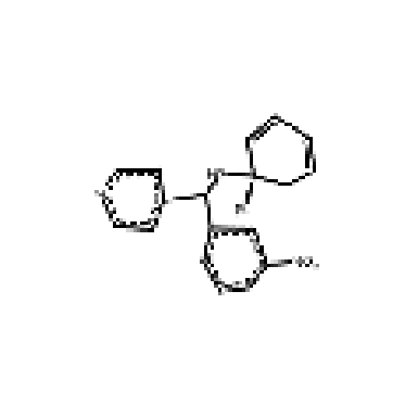 CC[C@@]1(NC(c2ccncc2)c2cccc([N+](=O)[O-])c2)C=CC=CC1